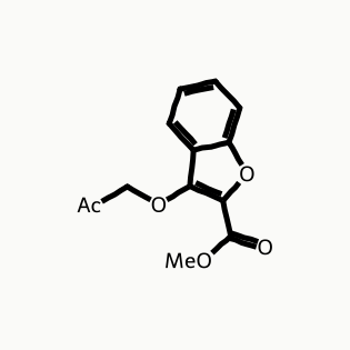 COC(=O)c1oc2ccccc2c1OCC(C)=O